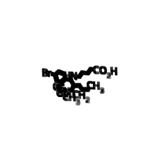 C=C1/C(=C\C=C/C)C(NCCCCC(=O)O)c2ccc(Br)cc2S(=O)(=O)N1C